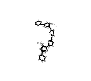 Cc1cc(-c2ccccc2)sc1-c1ccc(-c2ccc(-c3sc(-c4ccccc4)cc3C)s2)s1